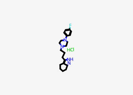 Cl.Fc1ccc(N2CCN(CCCc3[nH]nc4c3CCCC4)CC2)cc1